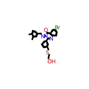 Cc1ccc(C=Nn2c(-c3cccc(CSCCO)c3)nc3ccc(Br)cc3c2=O)cc1C